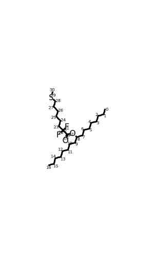 CCCCCCCCC(CCCCCCCC)OC(=O)C(F)(F)CCCCCCSC